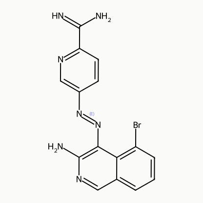 N=C(N)c1ccc(/N=N/c2c(N)ncc3cccc(Br)c23)cn1